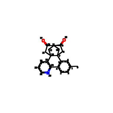 Cc1ccc2c(c1)C13CC(=O)[C@@]4(C1)CC3(CC4=O)c1cccnc1-2